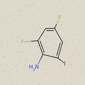 Nc1c(F)cc(F)cc1I